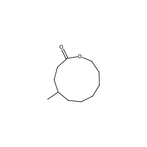 CC1CCCCCCOC(=O)CC1